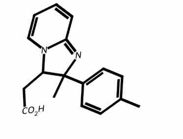 Cc1ccc(C2(C)N=C3C=CC=CN3C2CC(=O)O)cc1